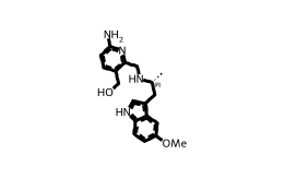 COc1ccc2[nH]cc(C[C@@H](C)NCc3nc(N)ccc3CO)c2c1